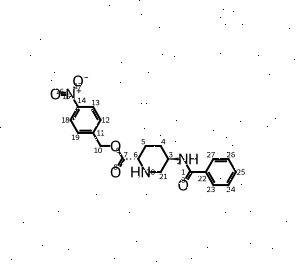 O=C(N[C@@H]1CC[C@@H](C(=O)OCc2ccc([N+](=O)[O-])cc2)NC1)c1ccccc1